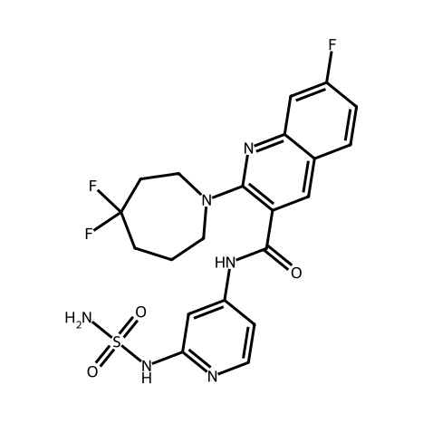 NS(=O)(=O)Nc1cc(NC(=O)c2cc3ccc(F)cc3nc2N2CCCC(F)(F)CC2)ccn1